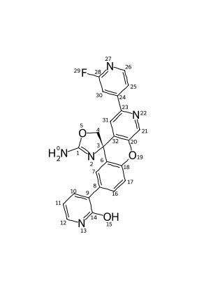 NC1=N[C@@]2(CO1)c1cc(-c3cccnc3O)ccc1Oc1cnc(-c3ccnc(F)c3)cc12